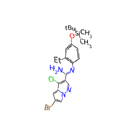 CCc1cc(O[Si](C)(C)C(C)(C)C)ccc1/N=C(\N)c1cnn2cc(Br)cc2c1Cl